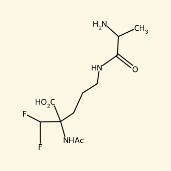 CC(=O)NC(CCCNC(=O)C(C)N)(C(=O)O)C(F)F